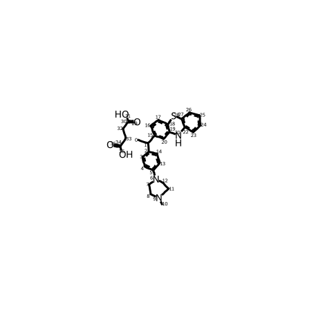 CC(c1ccc(N2CCN(C)CC2)cc1)c1ccc2c(c1)Nc1ccccc1S2.O=C(O)CCC(=O)O